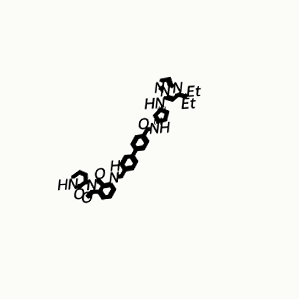 CCC(CC)c1cc(N[C@H]2CC[C@H](NC(=O)c3ccc(-c4ccc(CNc5cccc6c5C(=O)N(C5CCCNC5=O)C6=O)cc4)cc3)C2)n2nccc2n1